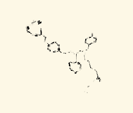 NOC(=O)CCCCN(Cc1ccc(C(=O)O)cc1)CC(CCc1ccc(CCc2ccccc2)cc1)c1ccccc1